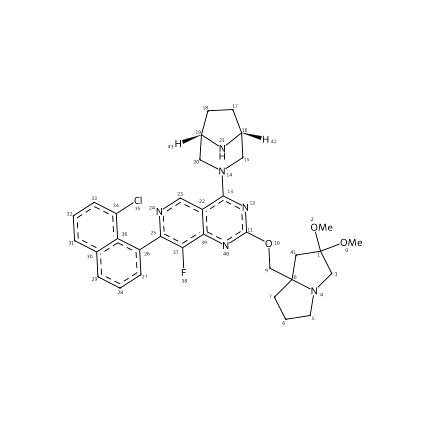 COC1(OC)CN2CCCC2(COc2nc(N3C[C@H]4CC[C@@H](C3)N4)c3cnc(-c4cccc5cccc(Cl)c45)c(F)c3n2)C1